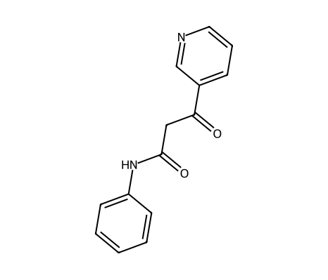 O=C(CC(=O)c1cccnc1)Nc1ccccc1